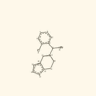 CCCC(c1ccccc1Cl)N1CCc2sccc2C1